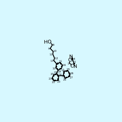 ClCCl.N#CC#N.OCCCCCCc1cccc(-c2ccccc2-c2ccccc2)c1